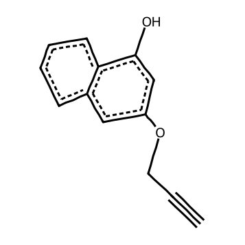 C#CCOc1cc(O)c2ccccc2c1